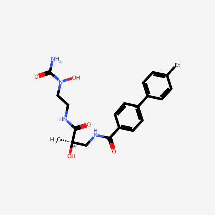 CCc1ccc(-c2ccc(C(=O)NC[C@@](C)(O)C(=O)NCCN(O)C(N)=O)cc2)cc1